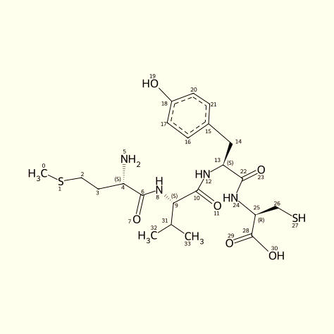 CSCC[C@H](N)C(=O)N[C@H](C(=O)N[C@@H](Cc1ccc(O)cc1)C(=O)N[C@@H](CS)C(=O)O)C(C)C